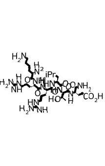 CC(C)C[C@H](NC(=O)[C@H](CCCNC(=N)N)NC(=O)[C@H](CCCNC(=N)N)NC(=O)[C@@H](N)CCCCN)C(=O)N[C@H](C(=O)N[C@@H](CCC(=O)O)C(N)=O)[C@@H](C)O